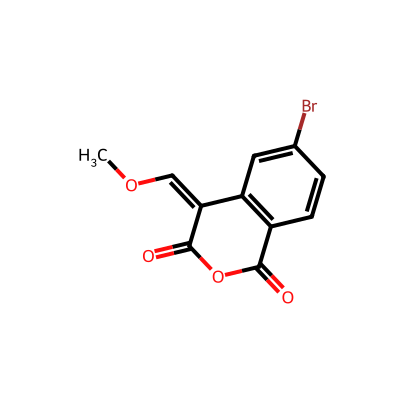 COC=C1C(=O)OC(=O)c2ccc(Br)cc21